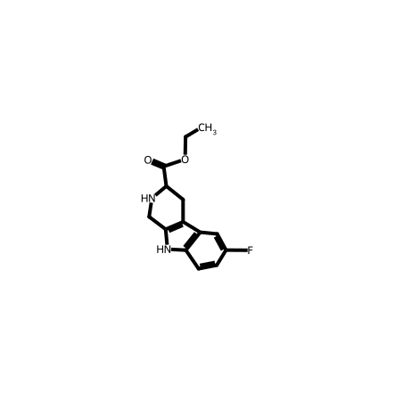 CCOC(=O)C1Cc2c([nH]c3ccc(F)cc23)CN1